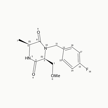 COC[C@H]1C(=O)N[C@@H](C)C(=O)N1Cc1ccc(F)cc1